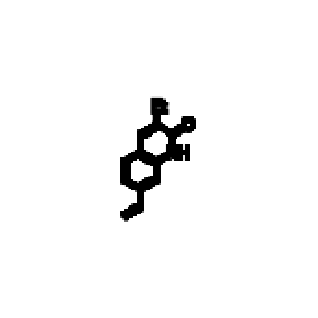 C=Cc1ccc2cc(CC)c(=O)[nH]c2c1